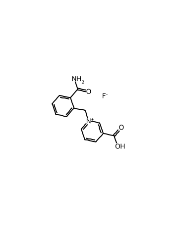 NC(=O)c1ccccc1C[n+]1cccc(C(=O)O)c1.[F-]